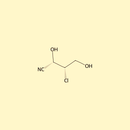 N#C[C@H](O)[C@@H](Cl)CO